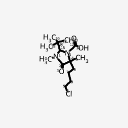 CN1C(=O)C(C)(CCCCCl)N(C(=O)O)C1C(C)(C)C